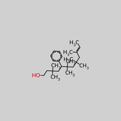 C/C=C(\C)CC(C)(C)CC(C)(C)C(CC(C)(C)CCO)c1ccccc1